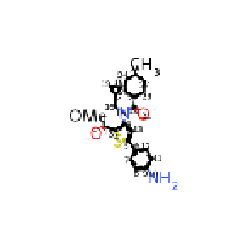 COC(=O)c1sc(-c2ccc(N)cc2)cc1N(CC1CC1)C(=O)[C@H]1CC[C@H](C)CC1